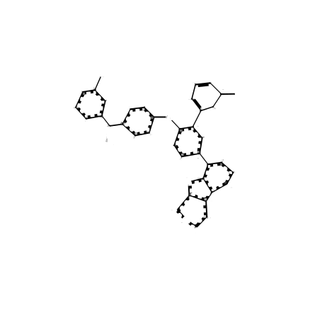 Cc1cccc([C@@H](N)c2ccc(Nc3ccc(-c4cccc5c4sc4ccccc45)cc3C3=CC=CC(C)C3)cc2)c1